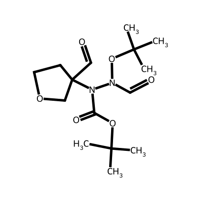 CC(C)(C)OC(=O)N(N(C=O)OC(C)(C)C)C1(C=O)CCOC1